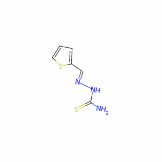 NC(=S)NN=Cc1cccs1